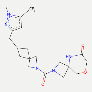 Cn1nc(CC2CC3(C2)CN(C(=O)N2CC4(COCC(=O)N4)C2)C3)cc1C(F)(F)F